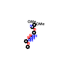 COc1cc2nccc(Oc3ccc(NC(=O)NC(=O)Nc4ccccc4Oc4ccccc4)cc3)c2cc1OC